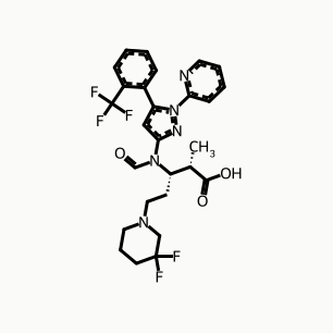 C[C@H](C(=O)O)[C@H](CCN1CCCC(F)(F)C1)N(C=O)c1cc(-c2ccccc2C(F)(F)F)n(-c2ccccn2)n1